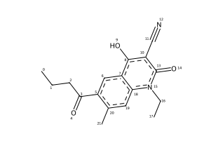 CCCC(=O)c1cc2c(O)c(C#N)c(=O)n(CC)c2cc1C